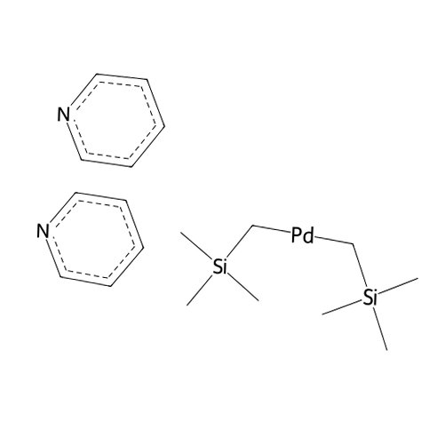 C[Si](C)(C)[CH2][Pd][CH2][Si](C)(C)C.c1ccncc1.c1ccncc1